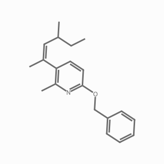 CCC(C)/C=C(/C)c1ccc(OCc2ccccc2)nc1C